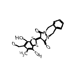 Cc1c(O)c2c(c(O)c1CCl)SC(=C1C(=O)N3Cc4ccccc4CN3C1=O)S2